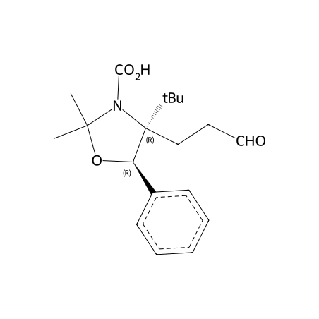 CC1(C)O[C@H](c2ccccc2)[C@@](CCC=O)(C(C)(C)C)N1C(=O)O